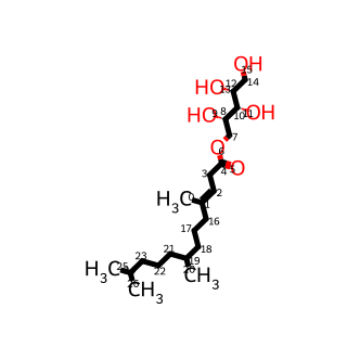 C/C(=C\CC(=O)OC[C@H](O)[C@@H](O)[C@H](O)CO)CCCC(C)CCCC(C)C